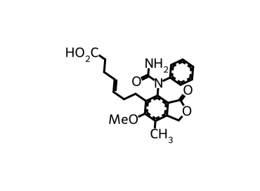 COc1c(C)c2c(c(N(C(N)=O)c3ccccc3)c1CC/C=C/CCC(=O)O)C(=O)OC2